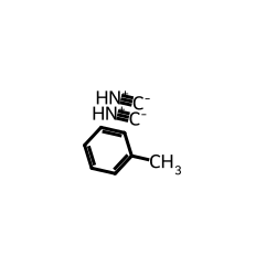 Cc1ccccc1.[C-]#[NH+].[C-]#[NH+]